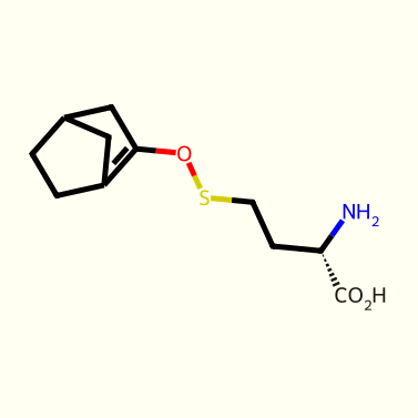 N[C@@H](CCSOC1=C2CCC(C2)C1)C(=O)O